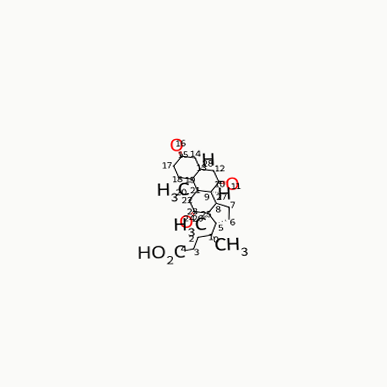 C[C@H](CCC(=O)O)[C@H]1CCC2[C@@H]3C(=O)C[C@@H]4CC(=O)CC[C@]4(C)C3CC(=O)[C@@]21C